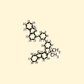 CC1(C)c2ccc(-c3cccc(-c4cccc5c4sc4ccccc45)c3)cc2-c2c1ccc1c2sc2ccccc21